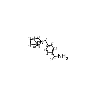 C[C@H](N)c1ccc(CN2CC3CCC(C2)N3C)cc1